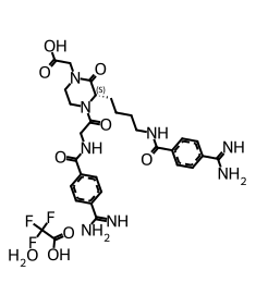 N=C(N)c1ccc(C(=O)NCCCC[C@H]2C(=O)N(CC(=O)O)CCN2C(=O)CNC(=O)c2ccc(C(=N)N)cc2)cc1.O.O=C(O)C(F)(F)F